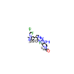 [2H]C1(N2CC[C@@H](Nc3nc(OC)c4c(-c5ccc6nc(C)n(CC(F)F)c6c5)ccn4n3)[C@H](F)C2)COC1